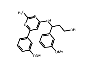 COc1cccc(-c2cc(NC(CCO)c3cccc(OC)c3)nc(C)n2)c1